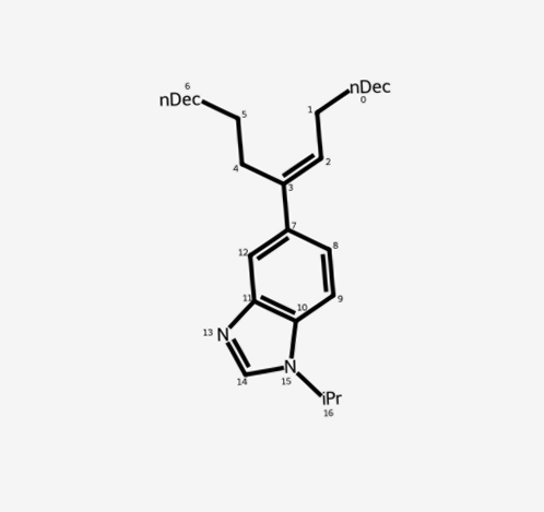 CCCCCCCCCCCC=C(CCCCCCCCCCCC)c1ccc2c(c1)ncn2C(C)C